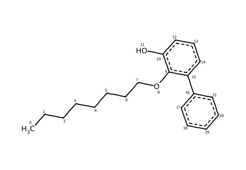 CCCCCCCCOc1c(O)cccc1-c1ccccc1